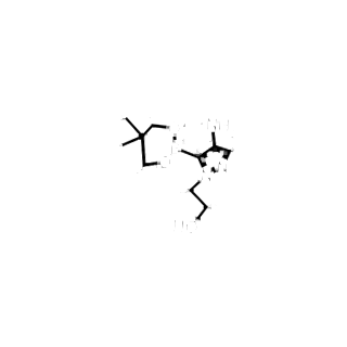 CC1(C)COB(c2c(N)cnn2CCO)OC1